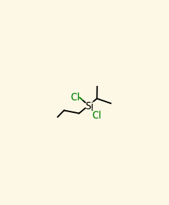 CCC[Si](Cl)(Cl)C(C)C